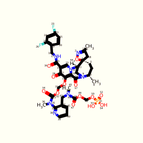 CC1=NO[C@@]2(CC[C@H](C)N3C[C@H]2n2cc(C(=O)NCc4ccc(F)cc4F)c(=O)c(OCOC(=O)N(C)c4ncccc4CN(C)C(=O)OCOP(=O)(O)O)c2C3=O)C1